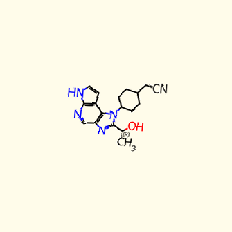 C[C@@H](O)c1nc2cnc3[nH]ccc3c2n1C1CCC(CC#N)CC1